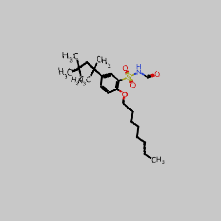 CCCCCCCCOc1ccc(C(C)(C)CC(C)(C)C)cc1S(=O)(=O)NC=O